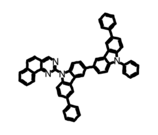 c1ccc(-c2ccc3c(c2)c2cc(-c4ccc5c(c4)c4cc(-c6ccccc6)ccc4n5-c4ncc5ccc6ccccc6c5n4)ccc2n3-c2ccccc2)cc1